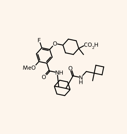 COc1cc(F)c(OC2CCC(C)(C(=O)O)CC2)cc1C(=O)NC1C2CCC(CC2)C1C(=O)NCC1(C)CCC1